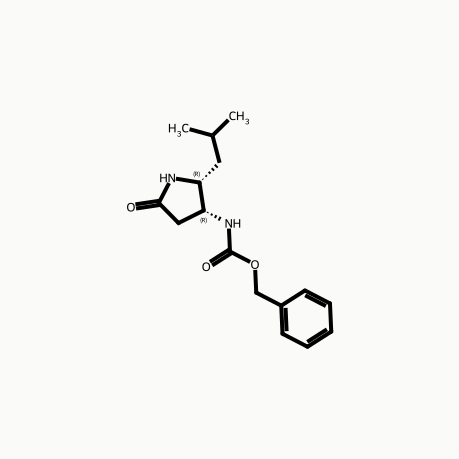 CC(C)C[C@H]1NC(=O)C[C@H]1NC(=O)OCc1ccccc1